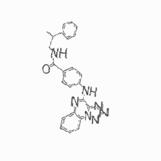 CC(CNC(=O)c1ccc(Nc2nc3ccccc3n3nnnc23)cc1)c1ccccc1